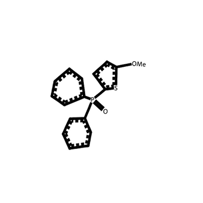 COc1ccc(P(=O)(c2ccccc2)c2ccccc2)s1